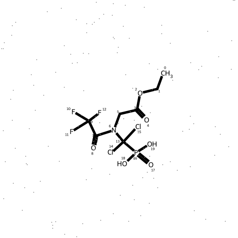 CCOC(=O)CN(C(=O)C(F)(F)F)C(Cl)(Cl)P(=O)(O)O